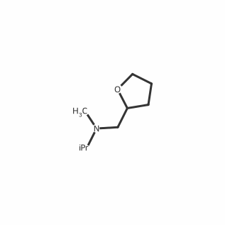 CC(C)N(C)CC1CCCO1